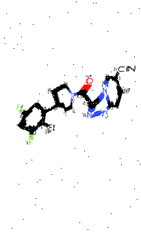 CCc1c(F)cc(F)cc1C1CCN(C(=O)c2nnc3ccc(C#N)cn23)CC1